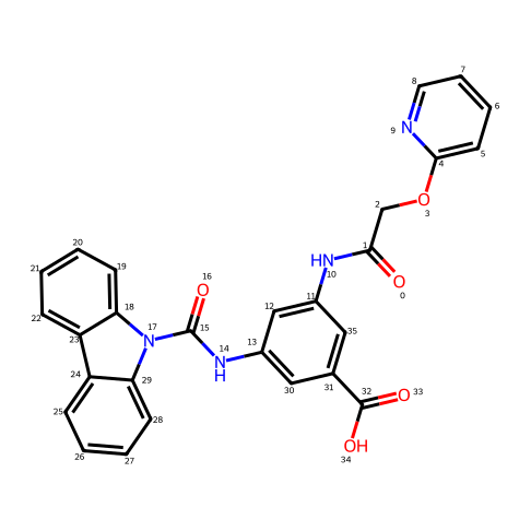 O=C(COc1ccccn1)Nc1cc(NC(=O)n2c3ccccc3c3ccccc32)cc(C(=O)O)c1